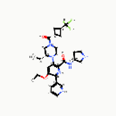 CCOc1cc(N2CCN(C(=O)[C@H]3C[C@H](C(F)(F)F)C3)C[C@H]2CC)c(C(=O)N[C@@H]2CCNC2)nc1-c1cccnc1